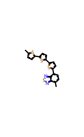 Cc1ccc(-c2ccc(-c3ccc(-c4ccc(C)c5nsnc45)s3)s2)s1